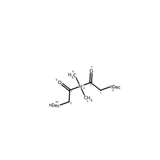 CCCCCCCCCCCC(=O)[N+](C)(C)C(=O)CCCCCCCCCCC